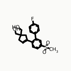 CS(=O)(=O)c1ccc(C2=CCC(CO)(CO)C2)c(-c2ccc(F)cc2)c1